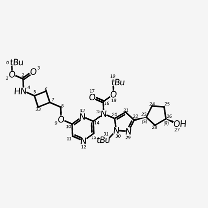 CC(C)(C)OC(=O)NC1CC(COc2cncc(N(C(=O)OC(C)(C)C)c3cc([C@H]4CC[C@@H](O)C4)nn3C(C)(C)C)n2)C1